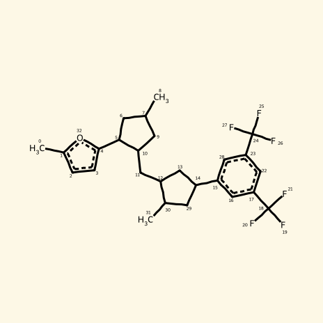 Cc1ccc(C2CC(C)CC2CC2CC(c3cc(C(F)(F)F)cc(C(F)(F)F)c3)CC2C)o1